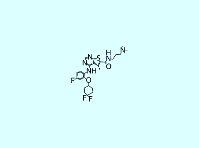 Cc1c(C(=O)NCCCN(C)C)sc2ncnc(Nc3ccc(F)cc3OC3CCC(F)(F)CC3)c12